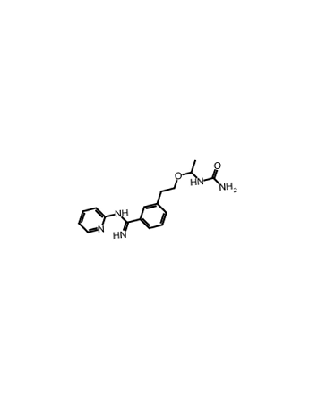 CC(NC(N)=O)OCCc1cccc(C(=N)Nc2ccccn2)c1